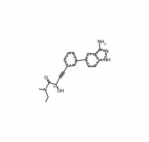 CCN(C)C(=O)[C@H](O)C#Cc1cccc(-c2ccc3[nH]nc(N)c3c2)c1